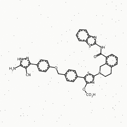 N#Cc1c(-c2ccc(OCc3ccc(-c4sc(N5CCc6cccc(C(=O)Nc7nc8ccccc8s7)c6C5)nc4OC(=O)O)cc3)cc2)n[nH]c1N